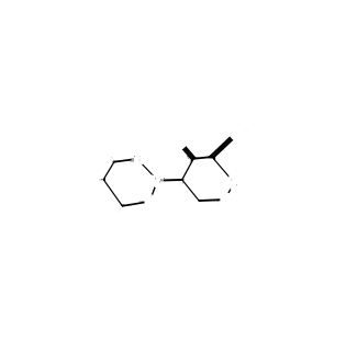 O=C1[N]SCC(N2NCCCS2)C1=O